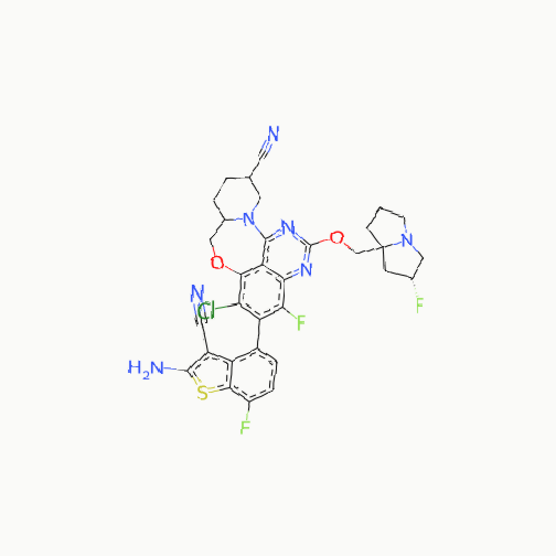 N#Cc1c(N)sc2c(F)ccc(-c3c(Cl)c4c5c(nc(OCC67CCCN6C[C@H](F)C7)nc5c3F)N3CC(C#N)CCC3CO4)c12